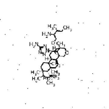 CC[C@H](C)[C@H](N)CO[C@H]1[C@H](n2nnc(N)n2)C[C@@]23COC[C@]1(C)[C@@H]2CC[C@H]1C3=CC[C@@]2(C)[C@H](C(=O)O)[C@@](C)([C@H](C)C(C)C)CC[C@]12C